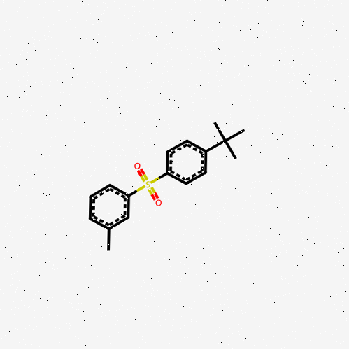 Cc1cccc(S(=O)(=O)c2ccc(C(C)(C)C)cc2)c1